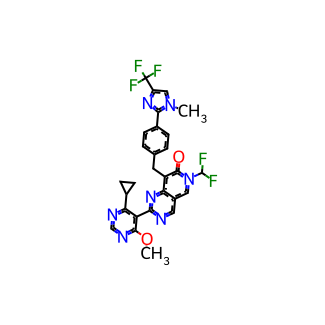 COc1ncnc(C2CC2)c1-c1ncc2cn(C(F)F)c(=O)c(Cc3ccc(-c4nc(C(F)(F)F)cn4C)cc3)c2n1